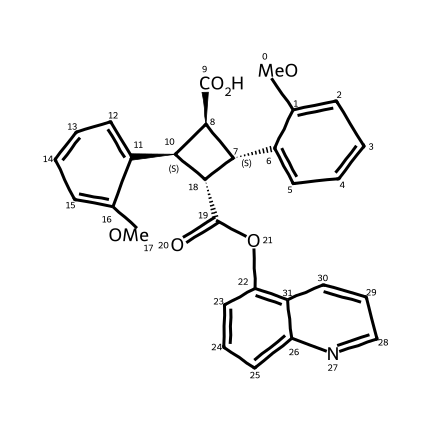 COc1ccccc1[C@H]1[C@H](C(=O)O)[C@H](c2ccccc2OC)[C@H]1C(=O)Oc1cccc2ncccc12